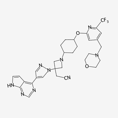 N#CCC1(n2cc(-c3ncnc4[nH]ccc34)cn2)CN(C2CCC(Oc3cc(CN4CCOCC4)cc(C(F)(F)F)n3)CC2)C1